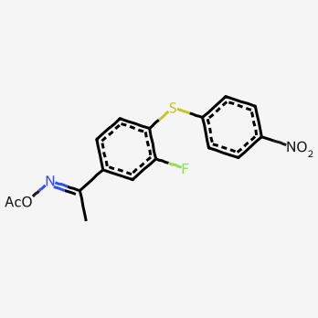 CC(=O)O/N=C(\C)c1ccc(Sc2ccc([N+](=O)[O-])cc2)c(F)c1